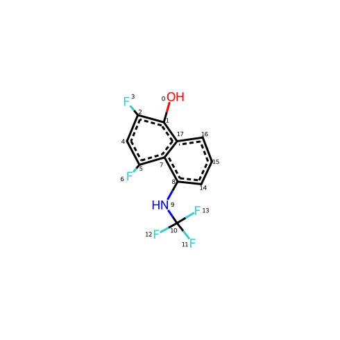 Oc1c(F)cc(F)c2c(NC(F)(F)F)cccc12